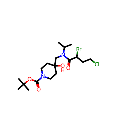 CC(C)N(CC1(O)CCN(C(=O)OC(C)(C)C)CC1)C(=O)C(Br)CCCl